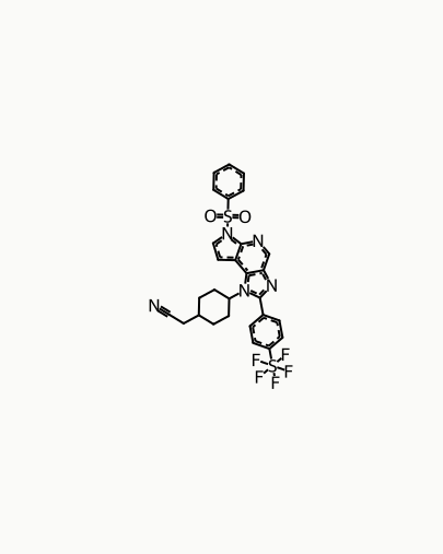 N#CCC1CCC(n2c(-c3ccc(S(F)(F)(F)(F)F)cc3)nc3cnc4c(ccn4S(=O)(=O)c4ccccc4)c32)CC1